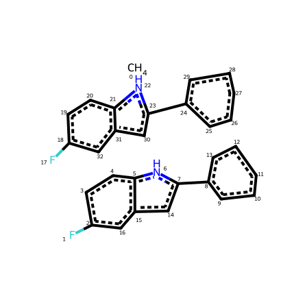 C.Fc1ccc2[nH]c(-c3ccccc3)cc2c1.Fc1ccc2[nH]c(-c3ccccc3)cc2c1